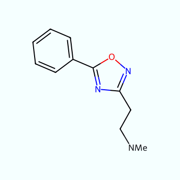 CNCCc1noc(-c2ccccc2)n1